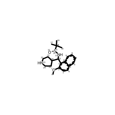 COc1ccc2ccccc2c1C(N[S@@+]([O-])C(C)(C)C)C1CCNCC1